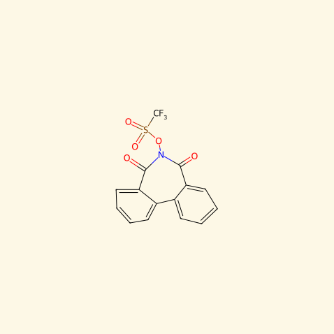 O=c1c2ccccc2c2ccccc2c(=O)n1OS(=O)(=O)C(F)(F)F